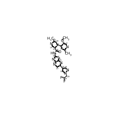 COc1cnc(C)cc1-c1cc(C)ncc1C(=O)Nc1nc2ncc(-c3cnn(CC(F)F)c3)nc2s1